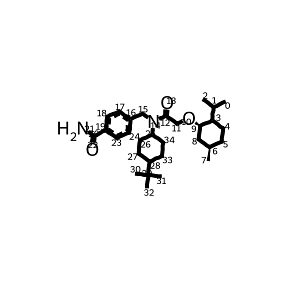 CC(C)C1CC[C@@H](C)C[C@H]1OCC(=O)N(Cc1ccc(C(N)=O)cc1)C1CCC(C(C)(C)C)CC1